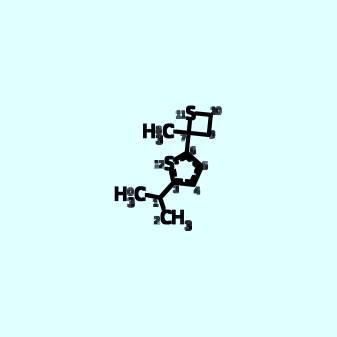 CC(C)c1ccc(C2(C)CCS2)s1